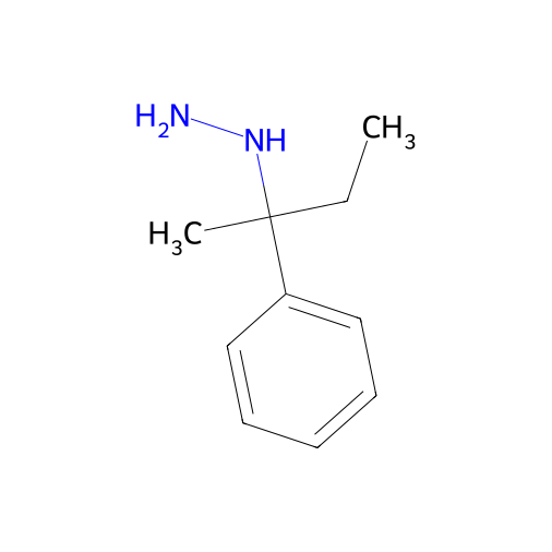 CCC(C)(NN)c1ccccc1